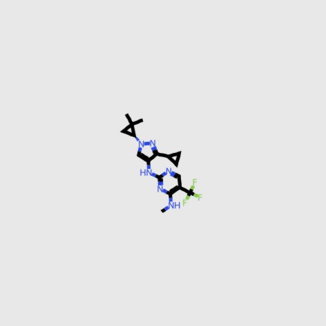 CNc1nc(Nc2cn([C@H]3CC3(C)C)nc2C2CC2)ncc1C(F)(F)F